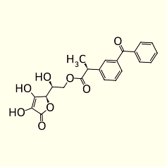 C[C@H](C(=O)OC[C@H](O)[C@H]1OC(=O)C(O)=C1O)c1cccc(C(=O)c2ccccc2)c1